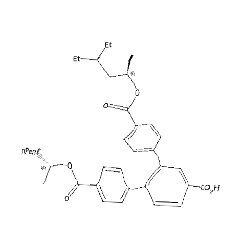 CCCCC[C@@H](C)OC(=O)c1ccc(-c2ccc(C(=O)O)cc2-c2ccc(C(=O)O[C@H](C)CC(CC)CC)cc2)cc1